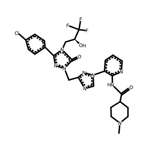 CN1CCC(C(=O)Nc2ncccc2-n2cnc(Cn3nc(-c4ccc(Cl)cc4)n(C[C@H](O)C(F)(F)F)c3=O)n2)CC1